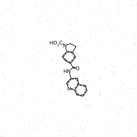 O=C(Nc1cnc2ccccc2c1)c1ccc2c(c1)CCN2C(=O)O